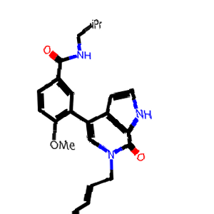 CC=CCn1cc(-c2cc(C(=O)NCC(C)C)ccc2OC)c2cc[nH]c2c1=O